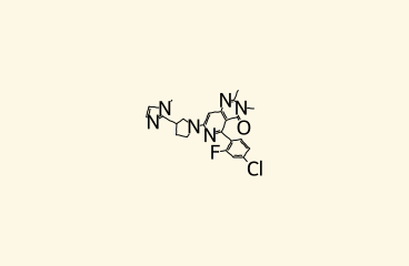 Cc1nc2cc(N3CCC(c4nccn4C)C3)nc(-c3ccc(Cl)cc3F)c2c(=O)n1C